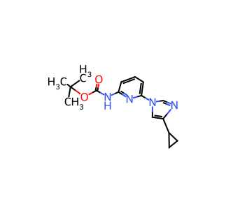 CC(C)(C)OC(=O)Nc1cccc(-n2cnc(C3CC3)c2)n1